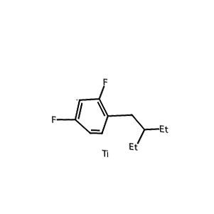 CCC(CC)Cc1ccc(F)[c]c1F.[Ti]